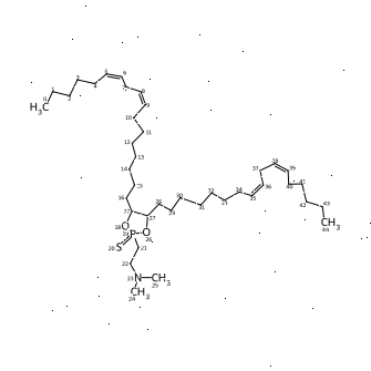 CCCCC/C=C\C/C=C\CCCCCCCC1OP(=S)(CCN(C)C)OC1CCCCCCC/C=C\C/C=C\CCCCC